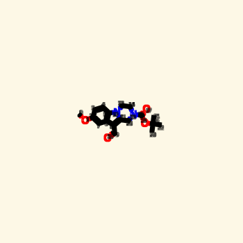 COc1ccc2c(c1)c(C=O)c1n2CCN(C(=O)OC(C)(C)C)C1